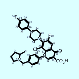 CC1CCCN1Cc1ccc(-n2cc(C(=O)O)c(=O)c3cc(F)c(N4CCN(c5ccc(F)cc5)CC4)c(Cl)c32)cc1